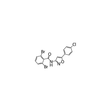 O=C(Nc1cc(-c2ccc(Cl)cc2)on1)c1c(Br)cccc1Br